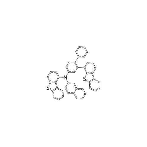 c1ccc(-c2ccc(N(c3ccc4ccccc4c3)c3cccc4sc5ccccc5c34)cc2-c2cccc3c2sc2ccccc23)cc1